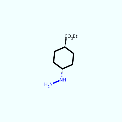 CCOC(=O)[C@H]1CC[C@H](NN)CC1